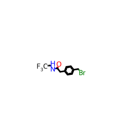 O=C(Cc1ccc(CBr)cc1)NCC(F)(F)F